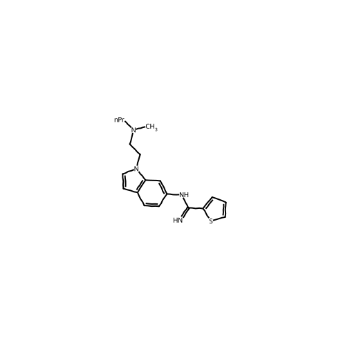 CCCN(C)CCn1ccc2ccc(NC(=N)c3cccs3)cc21